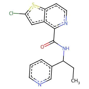 CCC(NC(=O)c1nccc2sc(Cl)cc12)c1cccnc1